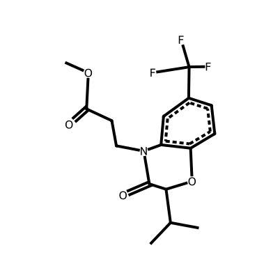 COC(=O)CCN1C(=O)C(C(C)C)Oc2ccc(C(F)(F)F)cc21